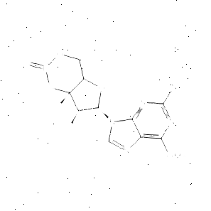 COc1nc(N)nc2c1ncn2[C@@H]1OC2CO[PH](=O)O[C@H]2[C@@H]1O